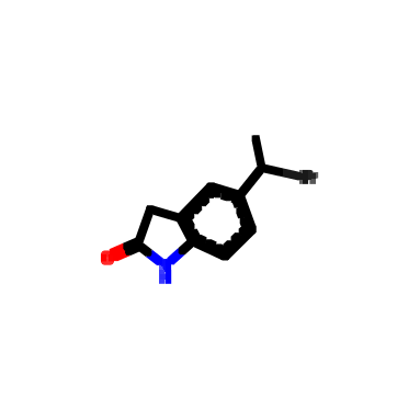 CC(C)C(C)c1ccc2c(c1)CC(=O)N2